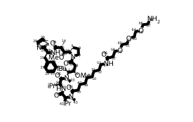 CC[C@H](C)[C@@H]([C@@H](CC(=O)N1CCC[C@H]1[C@H](OC)[C@@H](C)C(=O)N[C@@H](Cc1ccccc1)c1nccs1)OC)N(C)C(=O)[C@@H](NC(=O)C(C(C)C)N(C)C(=O)CCCCCCCCNC(=O)CCOCCOCCOCCN)C(C)C